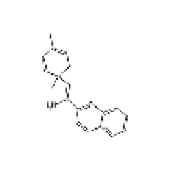 CC1=CCC(C)(C=C(N)c2ccc3ccccc3n2)C=C1